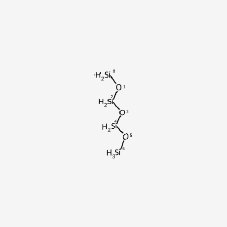 [SiH2]O[SiH2]O[SiH2]O[SiH3]